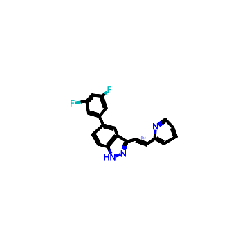 Fc1cc(F)cc(-c2ccc3[nH]nc(/C=C/c4ccccn4)c3c2)c1